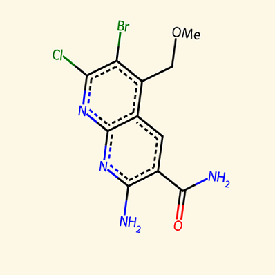 COCc1c(Br)c(Cl)nc2nc(N)c(C(N)=O)cc12